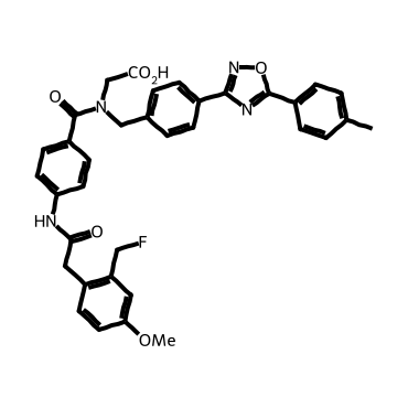 COc1ccc(CC(=O)Nc2ccc(C(=O)N(CC(=O)O)Cc3ccc(-c4noc(-c5ccc(C)cc5)n4)cc3)cc2)c(CF)c1